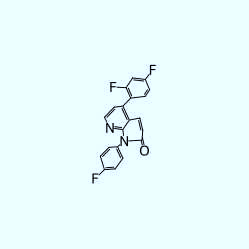 O=c1ccc2c(-c3ccc(F)cc3F)ccnc2n1-c1ccc(F)cc1